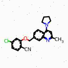 Cc1cc(N2CCCC2)c2ccc(COc3cc(Cl)ccc3C#N)cc2n1